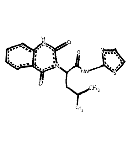 CC(C)CC(C(=O)Nc1nccs1)n1c(=O)[nH]c2ccccc2c1=O